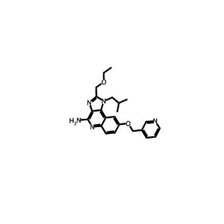 CCOCc1nc2c(N)nc3ccc(OCc4cccnc4)cc3c2n1CC(C)C